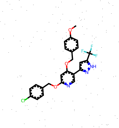 COc1ccc(COc2cc(OCc3ccc(Cl)cc3)ncc2-c2cc(C(F)(F)F)[nH]n2)cc1